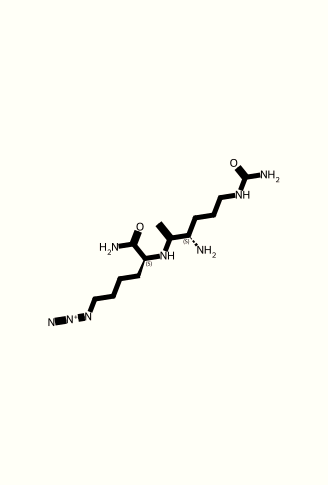 C=C(N[C@@H](CCCCN=[N+]=[N-])C(N)=O)[C@@H](N)CCCNC(N)=O